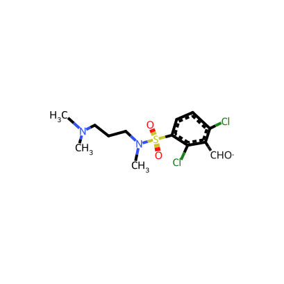 CN(C)CCCN(C)S(=O)(=O)c1ccc(Cl)c([C]=O)c1Cl